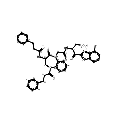 Cc1cccc2nc(C(=O)[C@H](CC(=O)O)NC(=O)CN3C(=O)C(NC(=O)CCc4ccccc4)CN(C(=O)CCc4ccccc4)c4ccccc43)oc12